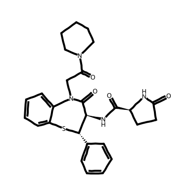 O=C1CC[C@@H](C(=O)N[C@@H]2C(=O)N(CC(=O)N3CCCCC3)c3ccccc3S[C@H]2c2ccccc2)N1